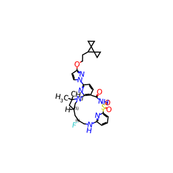 CC1(C)C[C@H]2C[C@@H](F)CNc3cccc(n3)S(=O)(=O)NC(=O)c3ccc(-n4ccc(OCCC5C6(CC6)C56CC6)n4)nc3N1C2